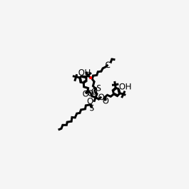 CCCCCCCCCCCCCC(=S)OCC(COC(=O)CCc1cc(C(C)(C)C)c(O)c(C(C)(C)C)c1)(COC(=O)CCc1cc(C(C)(C)C)c(O)c(C(C)(C)C)c1)COC(=S)CCCCCCCCCCCCC